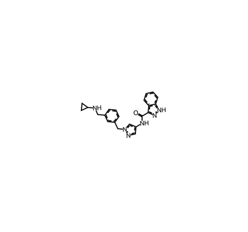 O=C(Nc1cnn(Cc2cccc(CNC3CC3)c2)c1)c1n[nH]c2ccccc12